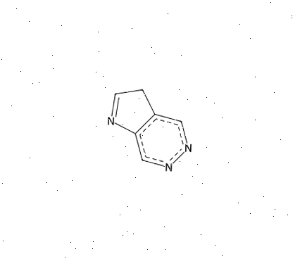 C1=Nc2cnncc2C1